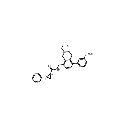 COc1cccc(-c2ccc(CNC(=O)[C@H]3C[C@@H]3c3ccccc3)c3c2CCN(CC(F)(F)F)C3)c1